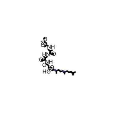 COC(C[C@@H](C=O)NCC(C)[C@@H](C=O)NCC(C)[C@@H](C=O)NC(=O)CCP(=O)(O)C/C=C(\C)CC/C=C(\C)CCC=C(C)C)SC